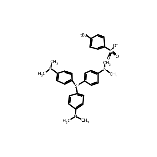 CC(C)(C)c1ccc(S(=O)(=O)[O-])cc1.CN(C)c1ccc([S+](c2ccc(N(C)C)cc2)c2ccc(N(C)C)cc2)cc1